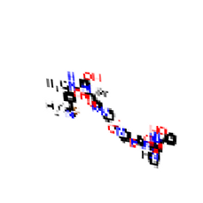 Cc1ncsc1-c1ccc([C@H](C)NC(=O)[C@@H]2C[C@@H](O)CN2C(=O)[C@@H](c2cc(N3CCC(OC(=O)N4CCC(OC5CC(Oc6cc(N7C8CC[C@@H]7CN(c7cc(-c9ccccc9O)nnc7N)C8)ccn6)C5)CC4)CC3)no2)C(C)C)cc1